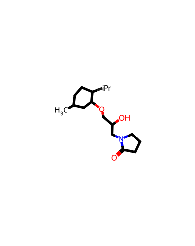 CC1CCC(C(C)C)C(OCC(O)CN2CCCC2=O)C1